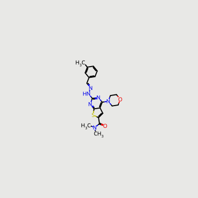 Cc1cccc(/C=N/Nc2nc(N3CCOCC3)c3cc(C(=O)N(C)C)sc3n2)c1